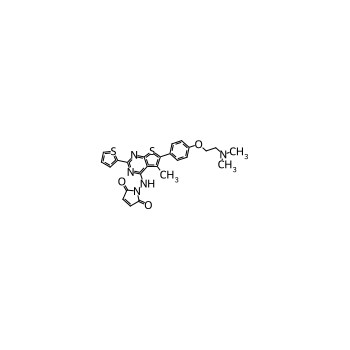 Cc1c(-c2ccc(OCCN(C)C)cc2)sc2nc(-c3cccs3)nc(NN3C(=O)C=CC3=O)c12